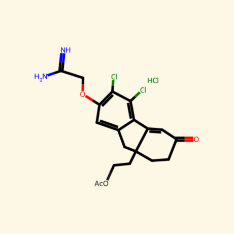 CC(=O)OCCC12CCC(=O)C=C1c1c(cc(OCC(=N)N)c(Cl)c1Cl)C2.Cl